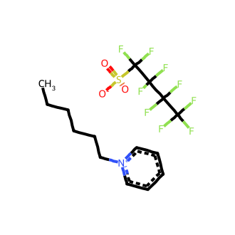 CCCCCC[n+]1ccccc1.O=S(=O)([O-])C(F)(F)C(F)(F)C(F)(F)C(F)(F)F